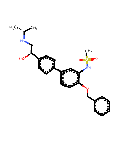 [CH2][C@H](C)NC[C@H](O)c1ccc(-c2ccc(OCc3ccccc3)c(NS(C)(=O)=O)c2)cc1